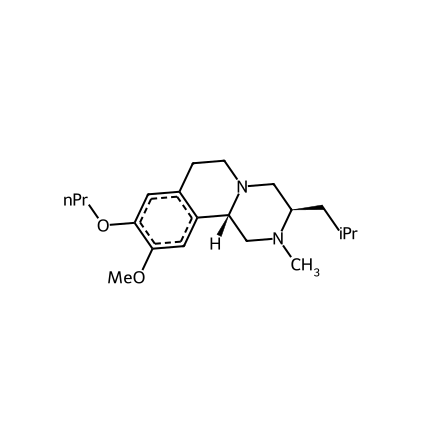 CCCOc1cc2c(cc1OC)[C@H]1CN(C)[C@H](CC(C)C)CN1CC2